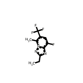 CCc1nc2c(F)cc(C(F)(F)F)c(C)n2n1